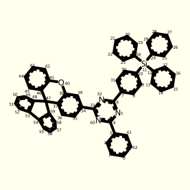 c1ccc(-c2nc(-c3ccc([Si](c4ccccc4)(c4ccccc4)c4ccccc4)cc3)nc(-c3ccc4c(c3)Oc3ccccc3C43c4ccccc4-c4ccccc43)n2)cc1